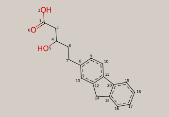 O=C(O)CC(O)CCc1ccc2c(c1)Cc1ccccc1-2